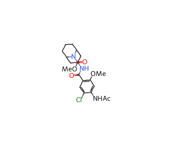 COC(=O)N1C2CCCC1CC(NC(=O)c1cc(Cl)c(NC(C)=O)cc1OC)C2